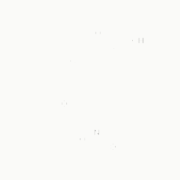 CC(C)Oc1c(C(=O)O)ccc([N+](=O)[O-])c1OC(C)C